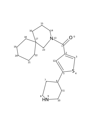 O=C(c1csc(C2CCNCC2)c1)N1CCCC2(CCCCC2)C1